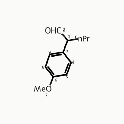 CCCC(C=O)c1ccc(OC)cc1